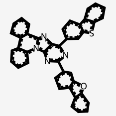 c1ccc2c(c1)oc1cc(-c3nc(-c4ccc5c(c4)sc4ccccc45)c4nc5c6ccccc6c6ccccc6n5c4n3)ccc12